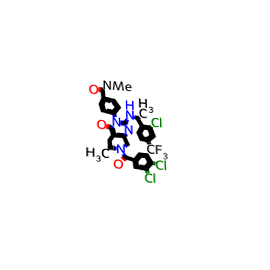 CNC(=O)c1ccc(-n2c(NC(C)c3ccc(C(F)(F)F)cc3Cl)nc3c(c2=O)C[C@@H](C)N(C(=O)c2ccc(Cl)c(Cl)c2)C3)cc1